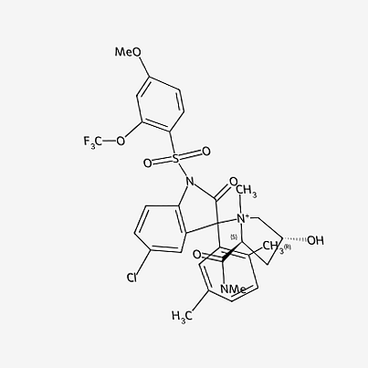 CNC(=O)[C@@H]1C[C@@H](O)C[N+]1(C)C1(c2cc(C)ccc2C)C(=O)N(S(=O)(=O)c2ccc(OC)cc2OC(F)(F)F)c2ccc(Cl)cc21